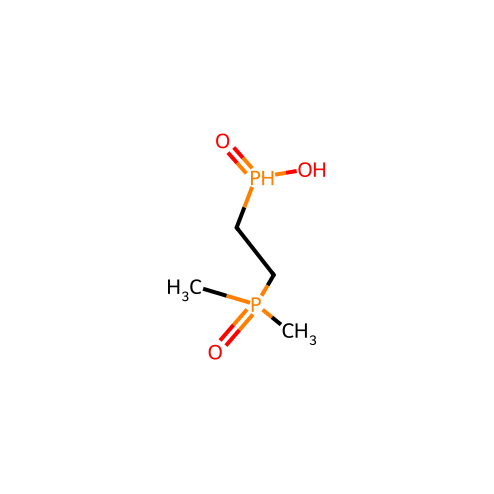 CP(C)(=O)CC[PH](=O)O